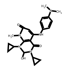 CN(C)c1ccc(Nc2cc(=O)n(C)c3c2C(=O)N(C2CC2)C(O)N3C2CC2)cc1